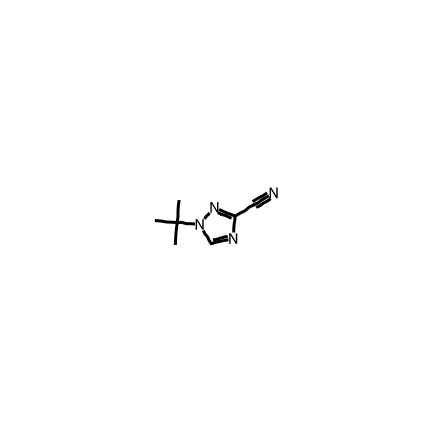 CC(C)(C)n1cnc(C#N)n1